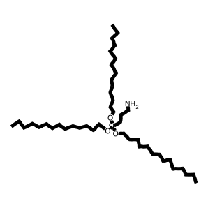 CCCCCCCCCCCCCCO[Si](CCCN)(OCCCCCCCCCCCCCC)OCCCCCCCCCCCCCC